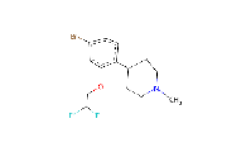 CN1CCC(c2ccc(Br)cc2OCC(F)F)CC1